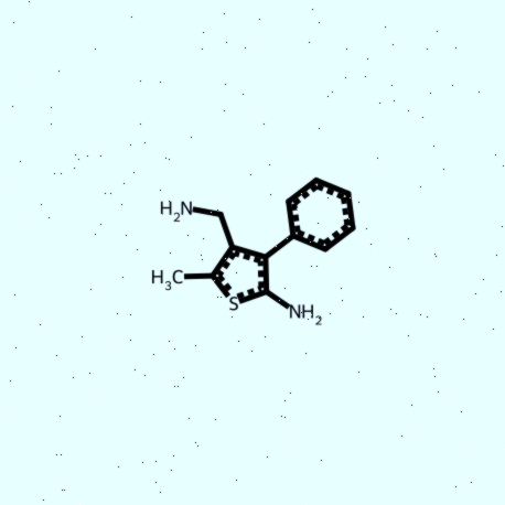 Cc1sc(N)c(-c2ccccc2)c1CN